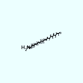 CC=CCCCCCCCCCCCCCCCCCN